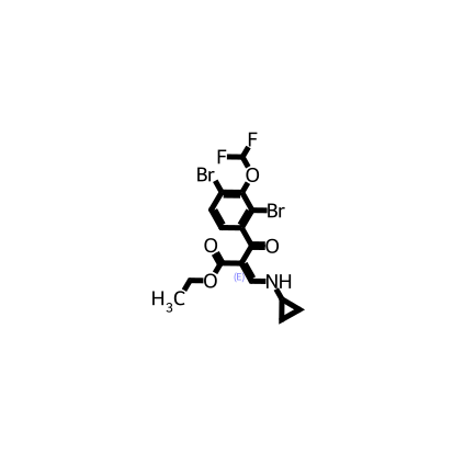 CCOC(=O)/C(=C/NC1CC1)C(=O)c1ccc(Br)c(OC(F)F)c1Br